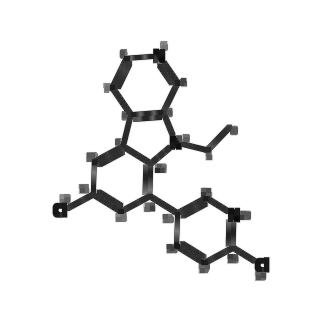 CCn1c2cnccc2c2cc(Cl)cc(-c3ccc(Cl)nc3)c21